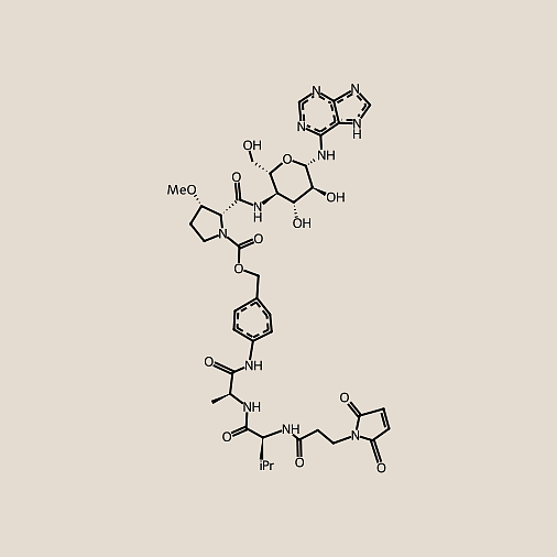 CO[C@H]1CCN(C(=O)OCc2ccc(NC(=O)[C@H](C)NC(=O)[C@@H](NC(=O)CCN3C(=O)C=CC3=O)C(C)C)cc2)[C@H]1C(=O)N[C@@H]1[C@@H](O)[C@H](O)[C@@H](Nc2ncnc3nc[nH]c23)O[C@H]1CO